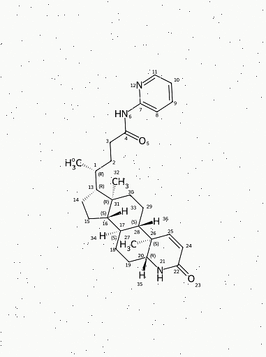 C[C@H](CCC(=O)Nc1ccccn1)[C@H]1CC[C@H]2[C@@H]3CC[C@H]4NC(=O)C=C[C@]4(C)[C@H]3CC[C@]12C